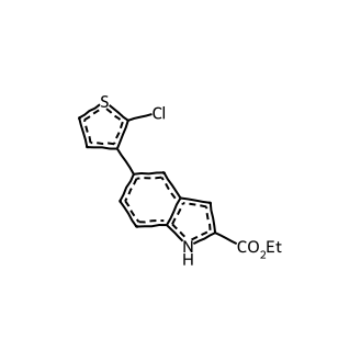 CCOC(=O)c1cc2cc(-c3ccsc3Cl)ccc2[nH]1